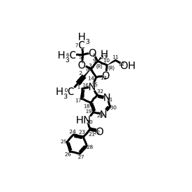 CC#C[C@@]12OC(C)(C)O[C@@H]1[C@@H](CO)OC2n1ccc2c(NC(=O)c3ccccc3)ncnc21